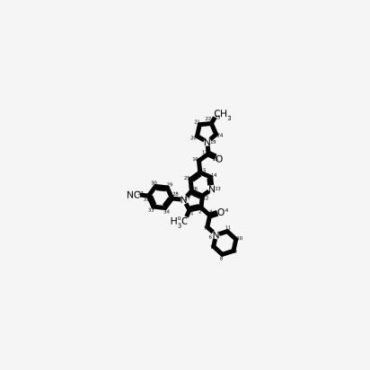 Cc1c(C(=O)CN2CCCCC2)c2ncc(CC(=O)N3CCC(C)C3)cc2n1-c1ccc(C#N)cc1